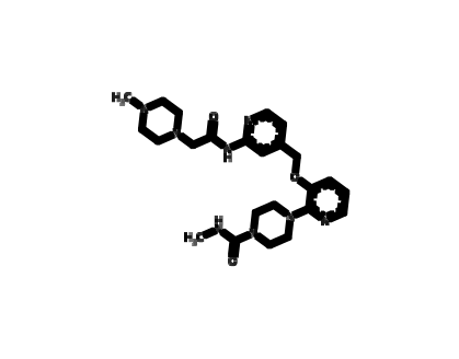 CNC(=O)N1CCN(c2ncccc2OCc2ccnc(NC(=O)CN3CCN(C)CC3)c2)CC1